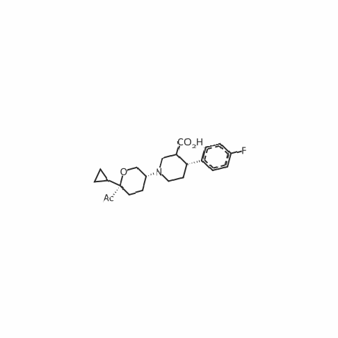 CC(=O)[C@@]1(C2CC2)CC[C@@H](N2CC[C@@H](c3ccc(F)cc3)C(C(=O)O)C2)CO1